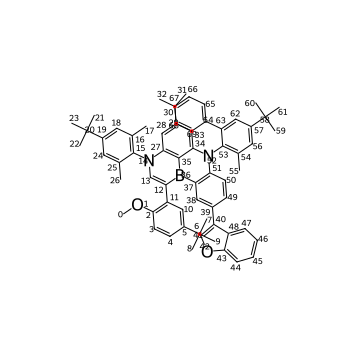 COc1ccc(C(C)(C)C)cc1C1=CN(c2c(C)cc(C(C)(C)C)cc2C)c2cc(C(C)C)cc3c2B1c1cc(-c2coc4ccccc24)ccc1N3c1c(C)cc(C(C)(C)C)cc1-c1ccccc1